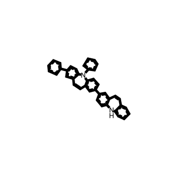 C1=Cc2cc(-c3ccc4c(c3)C=Cc3cc(-c5ccccc5)ccc3N4c3ccccc3)ccc2Nc2ccccc21